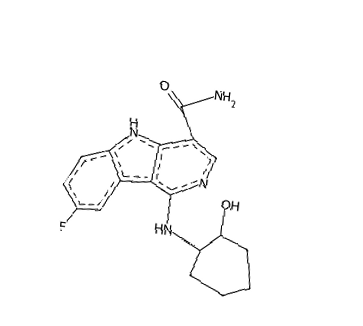 NC(=O)c1cnc(NC2CCCCC2O)c2c1[nH]c1ccc(F)cc12